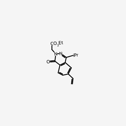 C=Cc1ccc2c(=O)n(CC(=O)OCC)nc(C(C)C)c2c1